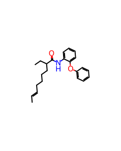 C/C=C/CCCCC(CC)C(=O)Nc1ccccc1Oc1ccccc1